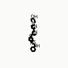 OC1CCN(c2ccc(-c3cc(Oc4ccc5nc(NC6CCCCC6)sc5c4)ccn3)cn2)CC1